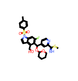 CSC(=N)c1cc(C(OC2CCCCO2)c2c(F)cc3c(ccn3S(=O)(=O)c3ccc(C)cc3)c2CO)ccn1